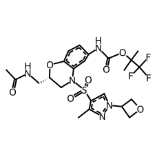 CC(=O)NC[C@H]1CN(S(=O)(=O)c2cn(C3COC3)nc2C)c2cc(NC(=O)OC(C)(C)C(F)(F)F)ccc2O1